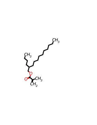 C=C(C)C(=O)OCC(CCCC)CCCCCCCCCC